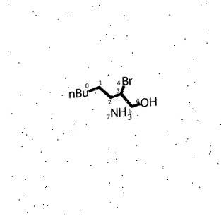 CCCCCCC(Br)CO.N